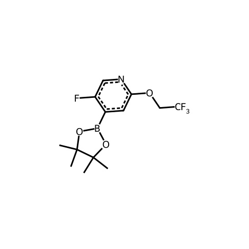 CC1(C)OB(c2cc(OCC(F)(F)F)ncc2F)OC1(C)C